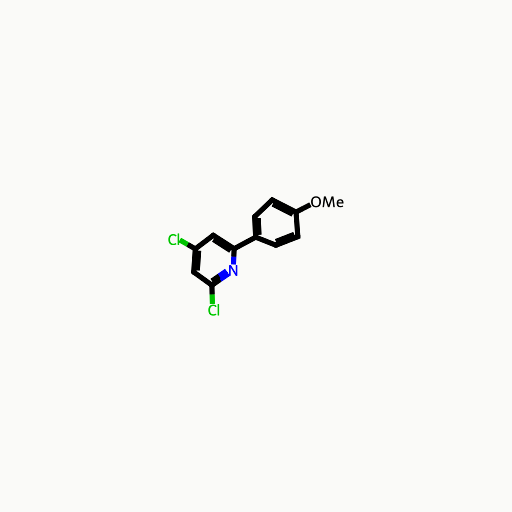 COc1ccc(-c2cc(Cl)cc(Cl)n2)cc1